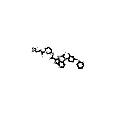 Cc1cc(Oc2ccccc2)ccc1N1C(=O)Nc2c(C(=O)N[C@@H]3CCCN(C(=O)CCS(C)(=O)=O)C3)sc3nccc1c23